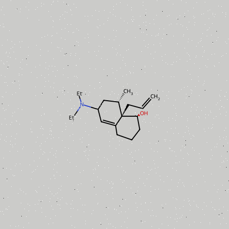 C=CC[C@@]12C(=CC(N(CC)CC)C[C@@H]1C)CCC[C@@H]2O